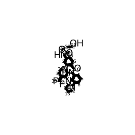 O=C(Nc1cccc2c1nc1n2CCC1)c1ccc(NS(=O)(=O)CCO)cc1N1CCC(=C(F)F)CC1